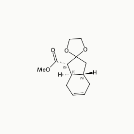 COC(=O)[C@H]1[C@@H]2CC=CC[C@H]2CC12OCCO2